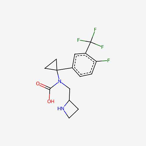 O=C(O)N(CC1CCN1)C1(c2ccc(F)c(C(F)(F)F)c2)CC1